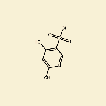 O=S(=O)(O)c1cnc(O)cc1O